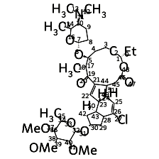 CC[C@H]1CCC[C@H](O[C@H]2CC[C@H](N(C)C)C(C)O2)[C@@H](C)C(=O)C2=C[C@@H]3C(C=C(Cl)C4C[C@@H](OC5OC(C)C(OC)C(OC)C5OC)C[C@H]43)[C@@H]2CC(=O)O1